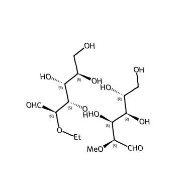 CCO[C@@H](C=O)[C@@H](O)[C@H](O)[C@H](O)CO.CO[C@H](C=O)[C@@H](O)[C@H](O)[C@H](O)CO